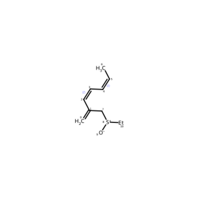 C=C(/C=C\C=C/C)C[S+]([O-])CC